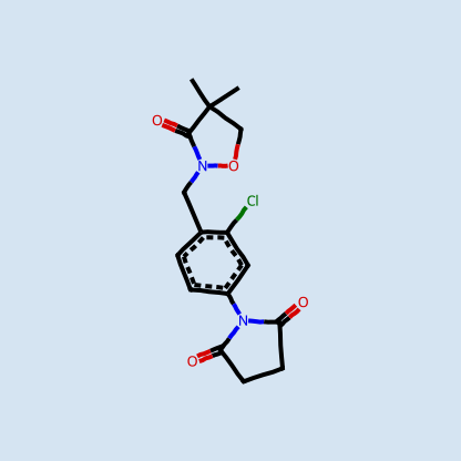 CC1(C)CON(Cc2ccc(N3C(=O)CCC3=O)cc2Cl)C1=O